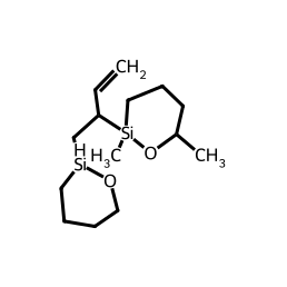 C=CC(C[SiH]1CCCCO1)[Si]1(C)CCCC(C)O1